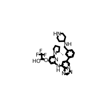 C[C@H]1CCCN1c1cccc(Nc2cc(-c3cccc(CNC4CCNCC4)c3)cn3ncnc23)n1.O=C(O)C(F)(F)F